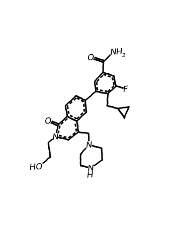 NC(=O)c1cc(F)c(CC2CC2)c(-c2ccc3c(=O)n(CCO)cc(CN4CCNCC4)c3c2)c1